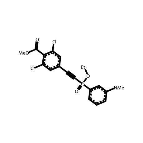 CCOP(=O)(C#Cc1cc(Cl)c(C(=O)OC)c(Cl)c1)c1cccc(NC)c1